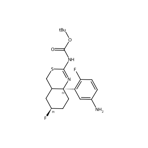 CC(C)(C)OC(=O)NC1=N[C@@]2(c3cc(N)ccc3F)CC[C@@H](F)CC2CS1